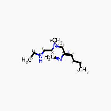 C=N/C(=C\CCC)CN(C)CCNCC